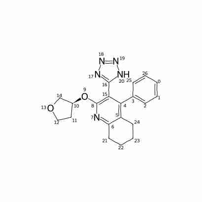 c1ccc(-c2c3c(nc(O[C@H]4CCOC4)c2-c2nnn[nH]2)CCCC3)cc1